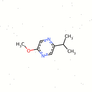 COc1cnc(C(C)C)cn1